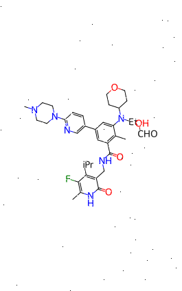 CCN(c1cc(-c2ccc(N3CCN(C)CC3)nc2)cc(C(=O)NCc2c(C(C)C)c(F)c(C)[nH]c2=O)c1C)C1CCOCC1.O=CO